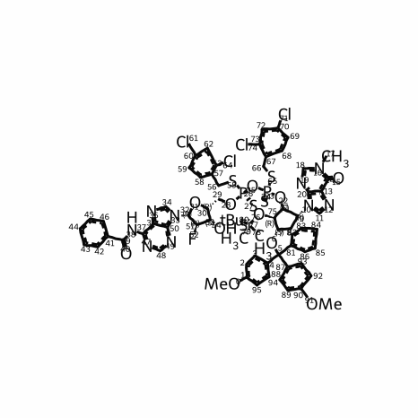 COc1ccc(C(O[C@H]2C[C@@H](n3cnc4c(=O)n(C)cnc43)[C@H](OP(=S)(OP(=S)(OC[C@H]3O[C@@H](n4cnc5c(NC(=O)c6ccccc6)ncnc54)[C@H](F)[C@H]3O)SCc3ccc(Cl)cc3Cl)SCc3ccc(Cl)cc3Cl)[C@@H]2O[Si](C)(C)C(C)(C)C)(c2ccccc2)c2ccc(OC)cc2)cc1